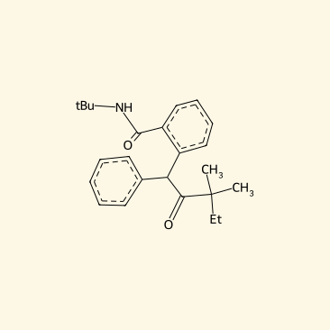 CCC(C)(C)C(=O)C(c1ccccc1)c1ccccc1C(=O)NC(C)(C)C